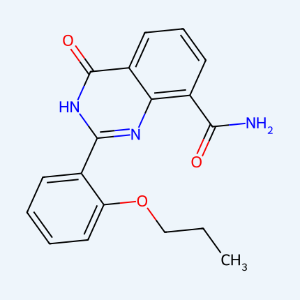 CCCOc1ccccc1-c1nc2c(C(N)=O)cccc2c(=O)[nH]1